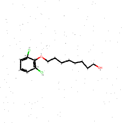 OCCCCCCCCOc1c(Cl)cccc1Cl